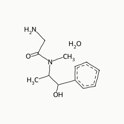 CC(C(O)c1ccccc1)N(C)C(=O)CN.O